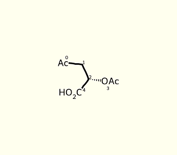 CC(=O)C[C@H](OC(C)=O)C(=O)O